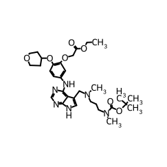 CCOC(=O)COc1cc(Nc2ncnc3[nH]cc(CN(C)CCCN(C)C(=O)OC(C)(C)C)c23)ccc1OC1CCOCC1